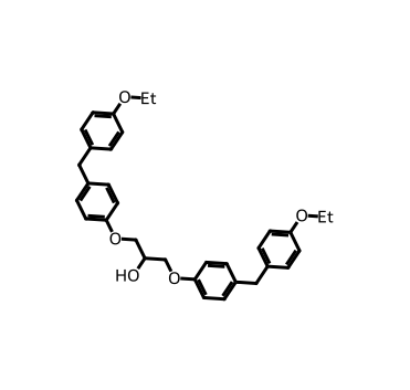 CCOc1ccc(Cc2ccc(OCC(O)COc3ccc(Cc4ccc(OCC)cc4)cc3)cc2)cc1